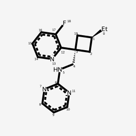 CC[C@H]1C[C@@](CNc2ncccn2)(c2ncccc2F)C1